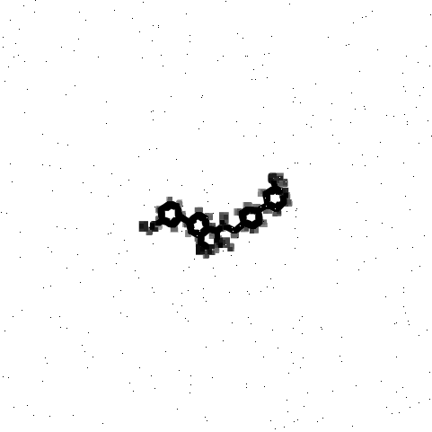 C/C=c1/cc(-c2cccc(C)c2)cc/c1=C(/N)NCc1ccc(-c2ccnc(C)c2)cc1